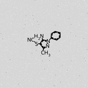 Cc1nn(-c2ccccc2)c(N)c1SC#N